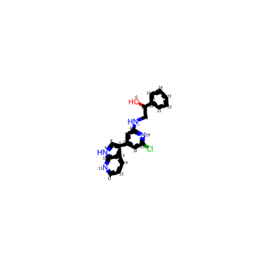 OC(CNc1cc(-c2c[nH]c3ncccc23)cc(Cl)n1)c1ccccc1